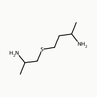 CC(N)CCSCC(C)N